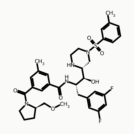 COC[C@H]1CCCN1C(=O)c1cc(C)cc(C(=O)N[C@@H](Cc2cc(F)cc(F)c2)[C@H](O)[C@H]2CN(S(=O)(=O)c3cccc(C)c3)CCN2)c1